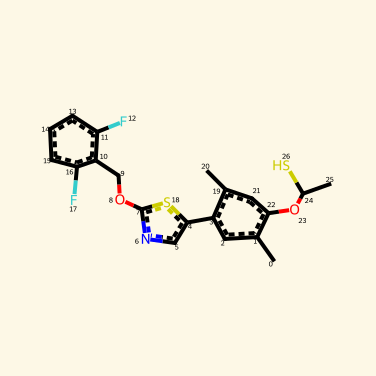 Cc1cc(-c2cnc(OCc3c(F)cccc3F)s2)c(C)cc1OC(C)S